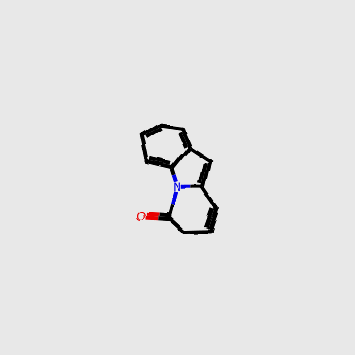 O=C1CC=Cc2cc3ccccc3n21